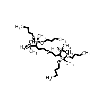 CCCCO[Si](C)(OCCCC)C(CCSCCC([Si](C)(C)C)[Si](C)(OCCCC)OCCCC)[Si](C)(C)C